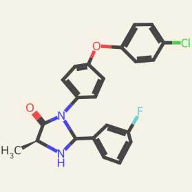 C[C@@H]1NC(c2cccc(F)c2)N(c2ccc(Oc3ccc(Cl)cc3)cc2)C1=O